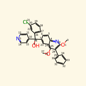 COc1nc2ccc(C(O)(c3ccncc3)c3cccc(Cl)c3)cc2c(OC)c1-c1ccccc1